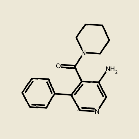 Nc1cn[c]c(-c2ccccc2)c1C(=O)N1CCCCC1